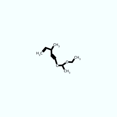 C=CC(C)C#COC(C)OCC